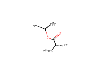 CCCCCC(CCC)C(=O)OC(CCC)CCC